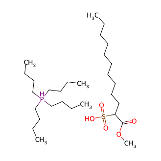 CCCCCCCCCCC(C(=O)OC)S(=O)(=O)O.CCCC[PH](CCCC)(CCCC)CCCC